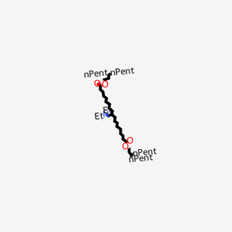 CCCCCC(CCCCC)CCOC(=O)CCCCCCCCC(CCCCCCCCC(=O)OCCC(CCCCC)CCCCC)CN(CC)CC